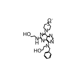 [O-][S+]1CCN(c2nc(NCCO)nc3c(N(CCO)Cc4ccccc4)ncnc23)CC1